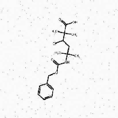 CC(C)(CC(Cl)C(C)(C)C(=O)O)NC(=O)OCc1ccccc1